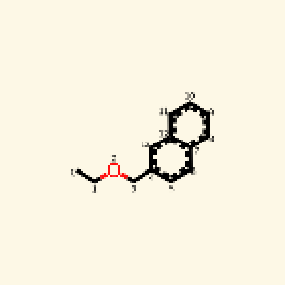 CCOCc1ccc2ccccc2c1